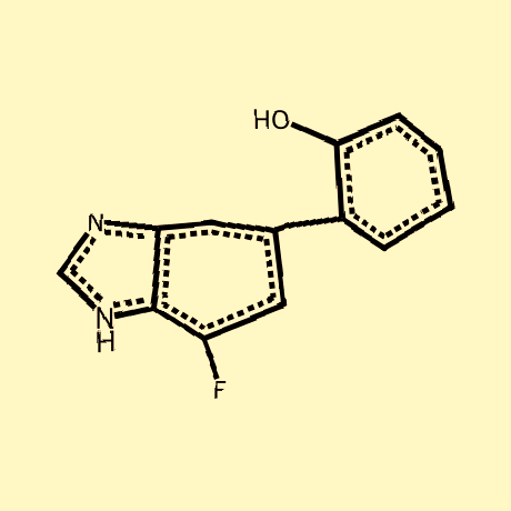 Oc1ccccc1-c1cc(F)c2[nH]cnc2c1